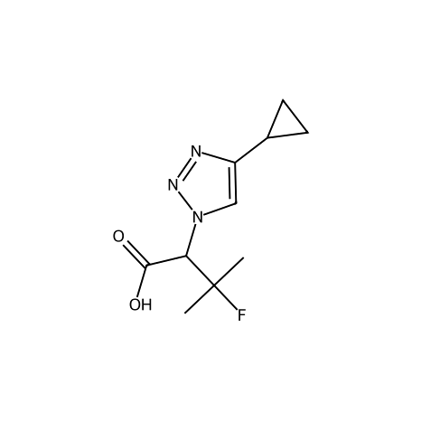 CC(C)(F)C(C(=O)O)n1cc(C2CC2)nn1